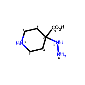 NNC1(C(=O)O)CCNCC1